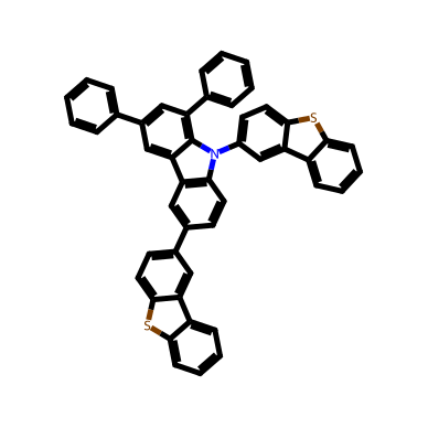 c1ccc(-c2cc(-c3ccccc3)c3c(c2)c2cc(-c4ccc5sc6ccccc6c5c4)ccc2n3-c2ccc3sc4ccccc4c3c2)cc1